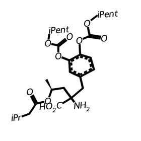 CCCC(C)OC(=O)Oc1ccc(CC(N)(C[C@H](C)OC(=O)CC(C)C)C(=O)O)cc1OC(=O)OC(C)CCC